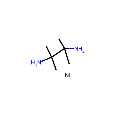 CC(C)(N)C(C)(C)N.[Ni]